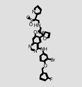 COc1cc2ncnc(Nc3ccc(OCc4cccc(F)c4)c(Br)c3)c2cc1C1(CCNCC(c2ccccn2)=S(=O)=O)CC=CO1